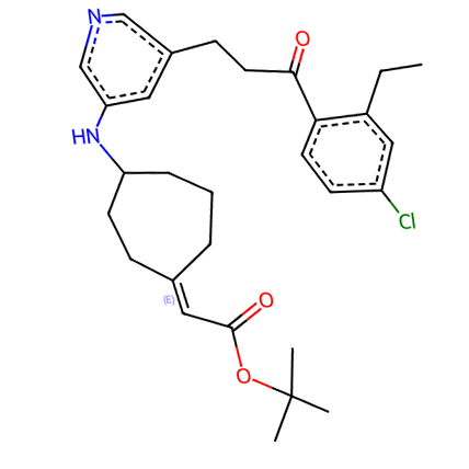 CCc1cc(Cl)ccc1C(=O)CCc1cncc(NC2CCC/C(=C\C(=O)OC(C)(C)C)CC2)c1